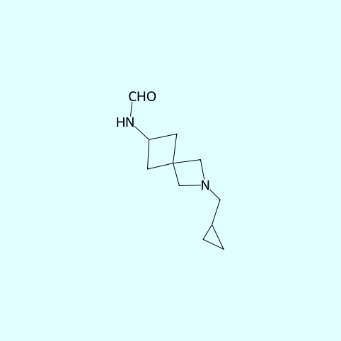 O=CNC1CC2(C1)CN(CC1CC1)C2